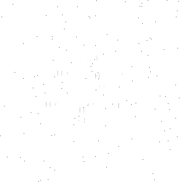 CCC(C)OC(=O)C(CC(C)(C)CC)C(C)(C)CC